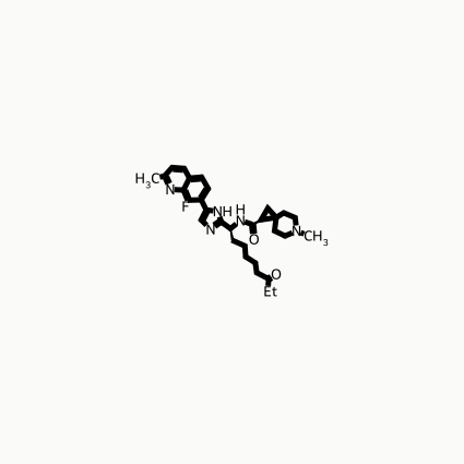 CCC(=O)CCCCC[C@H](NC(=O)[C@H]1CC12CCN(C)CC2)c1ncc(-c2ccc3ccc(C)nc3c2F)[nH]1